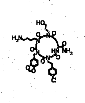 NCCCCN1CC(=O)N(Cc2ccc3c(c2)OCO3)CC(=O)N(CCc2ccc(Cl)cc2)CC(=O)NC(C(N)=O)CCC(=O)N(CCCO)CC1=O